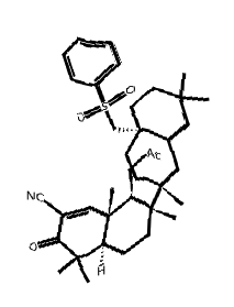 CC(=O)C[C@@H]1[C@@]2(C)C=C(C#N)C(=O)C(C)(C)[C@@H]2CC[C@@]1(C)[C@]1(C)CC[C@@]2(CS(=O)(=O)c3ccccc3)CCC(C)(C)CC2C1